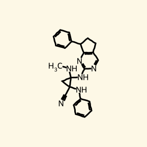 CNC1(Nc2ncc3c(n2)C(c2ccccc2)CC3)CC1(C#N)Nc1ccccc1